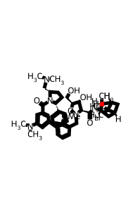 COc1c(CN2O[C@@H](CO)[C@@H](O)[C@H]2C(=O)N[C@H]2C[C@H]3C[C@@H]([C@@H]2C)C3(C)C)cccc1-c1cc(C(=O)N2[C@H](CN(C)C)CC[C@@H]2c2ccccc2)cc(N(C)C)c1